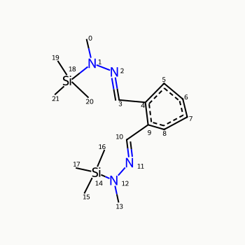 CN(N=Cc1ccccc1C=NN(C)[Si](C)(C)C)[Si](C)(C)C